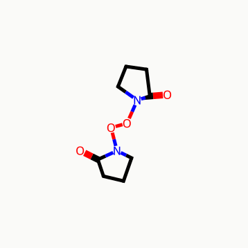 O=C1CCCN1OON1CCCC1=O